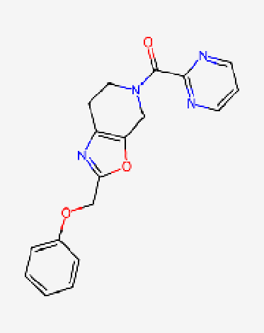 O=C(c1ncccn1)N1CCc2nc(COc3ccccc3)oc2C1